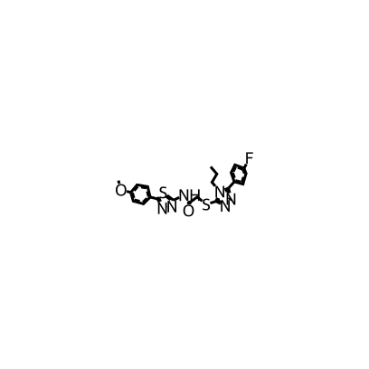 CCCn1c(SCC(=O)Nc2nnc(-c3ccc(OC)cc3)s2)nnc1-c1ccc(F)cc1